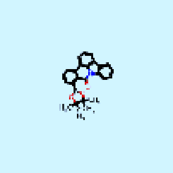 CC1(C)OB(c2cccc3c2c(=O)n2c4ccccc4c4cccc3c42)OC1(C)C